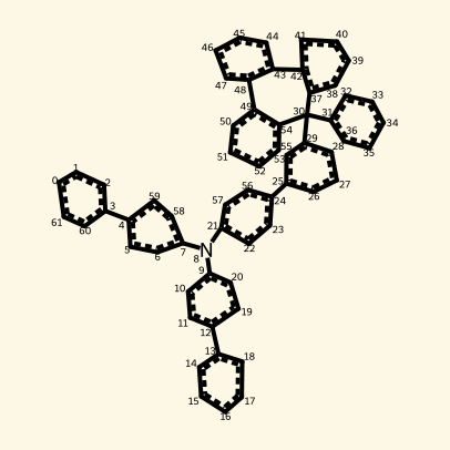 c1ccc(-c2ccc(N(c3ccc(-c4ccccc4)cc3)c3ccc(-c4cccc(C5(c6ccccc6)c6ccccc6-c6ccccc6-c6ccccc65)c4)cc3)cc2)cc1